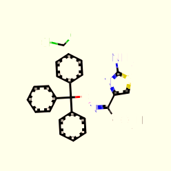 ClCCl.Nc1nc(C(=NOC(c2ccccc2)(c2ccccc2)c2ccccc2)C(=O)O)cs1